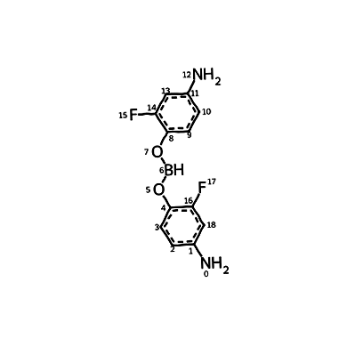 Nc1ccc(OBOc2ccc(N)cc2F)c(F)c1